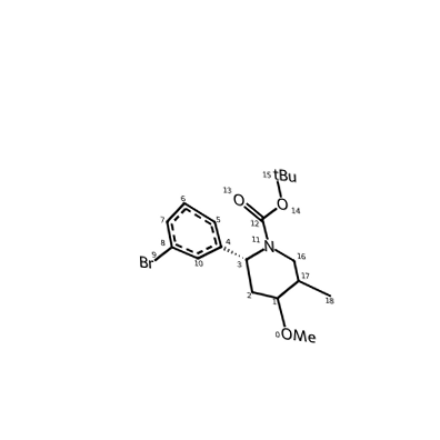 COC1C[C@H](c2cccc(Br)c2)N(C(=O)OC(C)(C)C)CC1C